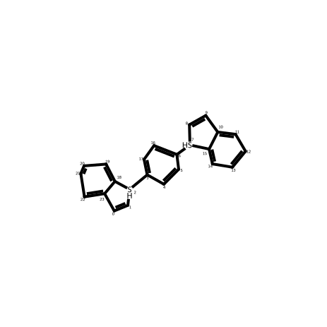 C1=C[SH](c2ccc([SH]3C=Cc4ccccc43)cc2)c2ccccc21